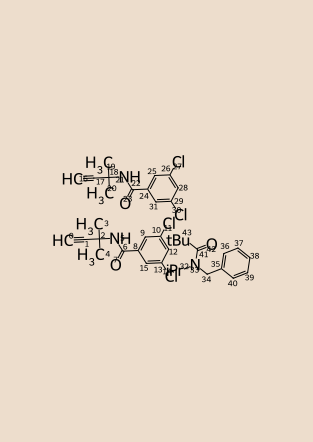 C#CC(C)(C)NC(=O)c1cc(Cl)cc(Cl)c1.C#CC(C)(C)NC(=O)c1cc(Cl)cc(Cl)c1.CC(C)N(Cc1ccccc1)C(=O)C(C)(C)C